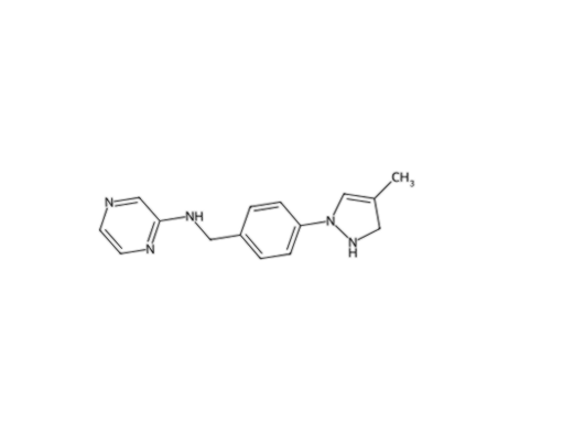 CC1=CN(c2ccc(CNc3cnccn3)cc2)NC1